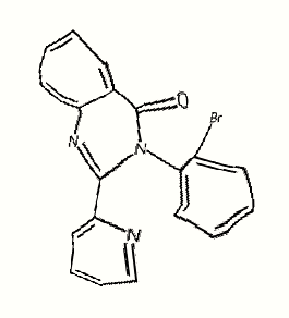 O=c1c2ccccc2nc(-c2ccccn2)n1-c1ccccc1Br